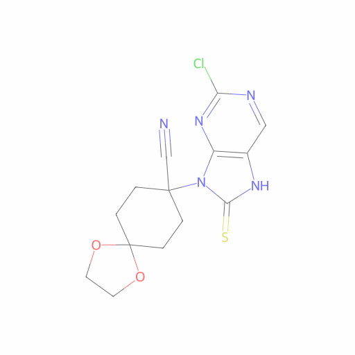 N#CC1(n2c(=S)[nH]c3cnc(Cl)nc32)CCC2(CC1)OCCO2